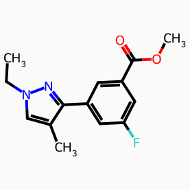 CCn1cc(C)c(-c2cc(F)cc(C(=O)OC)c2)n1